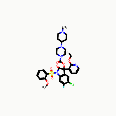 CCOc1ncccc1C1(OC(=O)N2CCN(C3CCN(C)CC3)CC2)C(=O)N(S(=O)(=O)c2ccccc2OC)c2cc(F)c(Cl)cc21